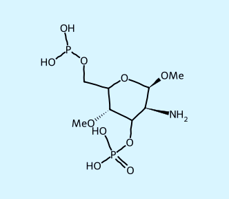 CO[C@@H]1C(COP(O)O)O[C@@H](OC)[C@@H](N)C1OP(=O)(O)O